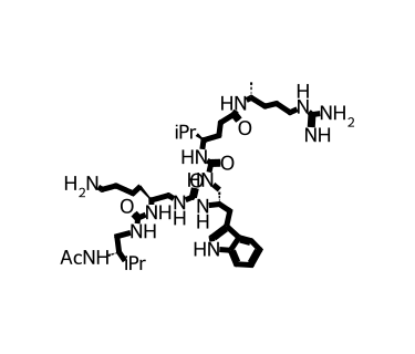 CC(=O)N[C@H](CNC(=O)N[C@@H](CCCCN)CNC(=O)N[C@H](CNC(=O)N[C@H](CCC(=O)N[C@H](C)CCCNC(=N)N)C(C)C)Cc1c[nH]c2ccccc12)C(C)C